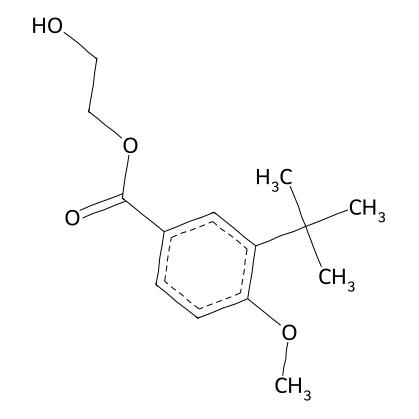 COc1ccc(C(=O)OCCO)cc1C(C)(C)C